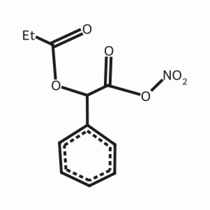 CCC(=O)OC(C(=O)O[N+](=O)[O-])c1ccccc1